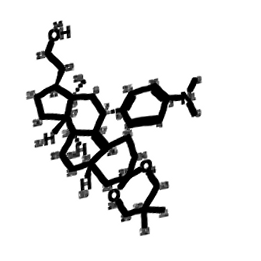 CN(C)c1ccc([C@H]2C[C@]3(C)[C@H](CCO)CC[C@H]3[C@@H]3CC[C@H]4CC5(CCC4=C32)OCC(C)(C)CO5)cc1